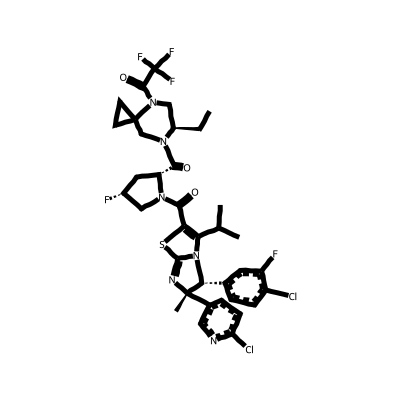 CC[C@@H]1CN(C(=O)C(F)(F)F)C2(CC2)CN1C(=O)[C@H]1C[C@@H](F)CN1C(=O)C1=C(C(C)C)N2C(=N[C@@](C)(c3ccc(Cl)nc3)[C@H]2c2ccc(Cl)c(F)c2)S1